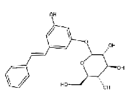 OC[C@H]1OC(Oc2cc(O)cc(C=Cc3ccccc3)c2)[C@H](O)[C@@H](O)[C@@H]1O